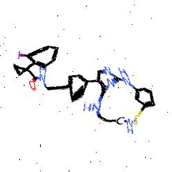 O=C(NCc1ccc(-c2cnc3nc2NCCCNSc2cccc(c2)N3)cc1)C1(c2ccccc2I)CC1